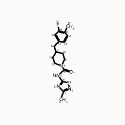 Cc1nsc(NC(=O)N2CCC(Cc3ccc(C)c(F)c3)CC2)n1